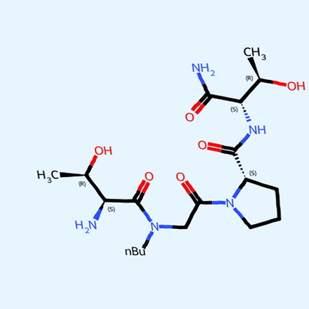 CCCCN(CC(=O)N1CCC[C@H]1C(=O)N[C@H](C(N)=O)[C@@H](C)O)C(=O)[C@@H](N)[C@@H](C)O